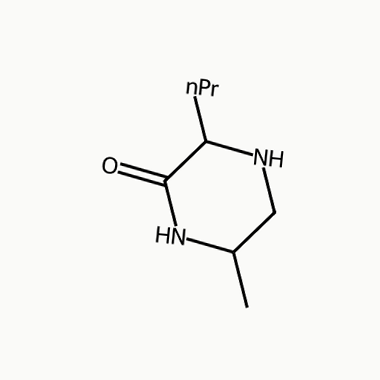 CCCC1NCC(C)NC1=O